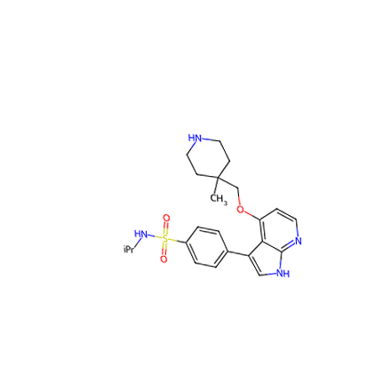 CC(C)NS(=O)(=O)c1ccc(-c2c[nH]c3nccc(OCC4(C)CCNCC4)c23)cc1